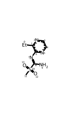 CCc1nccnc1/N=C(\N)S(C)(=O)=O